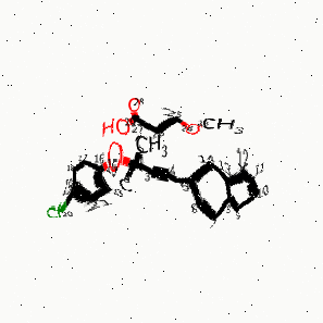 CC(C)(C#Cc1ccc2ccccc2c1)Oc1ccc(Cl)cc1.COC=CC(=O)O